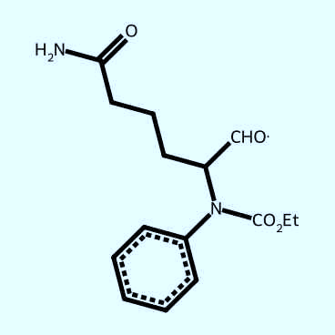 CCOC(=O)N(c1ccccc1)C([C]=O)CCCC(N)=O